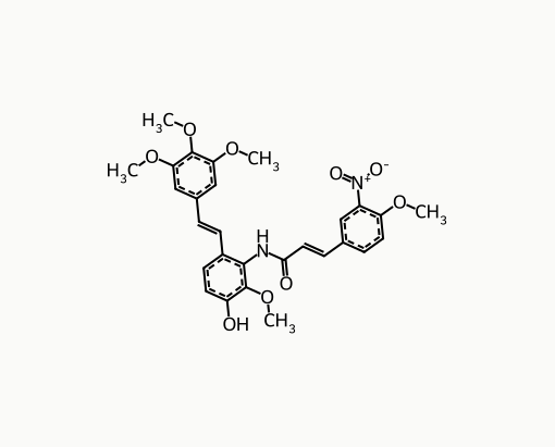 COc1ccc(/C=C/C(=O)Nc2c(/C=C/c3cc(OC)c(OC)c(OC)c3)ccc(O)c2OC)cc1[N+](=O)[O-]